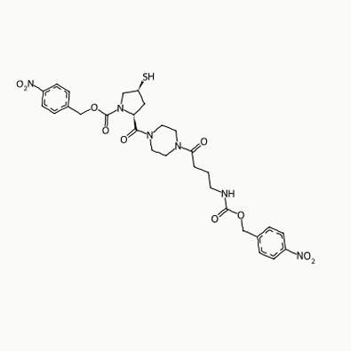 O=C(NCCCC(=O)N1CCN(C(=O)[C@@H]2C[C@H](S)CN2C(=O)OCc2ccc([N+](=O)[O-])cc2)CC1)OCc1ccc([N+](=O)[O-])cc1